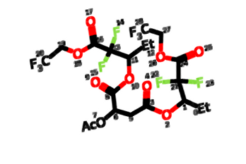 CCC(OC(=O)CC(OC(C)=O)C(=O)OC(CC)C(F)(F)C(=O)OCC(F)(F)F)C(F)(F)C(=O)OCC(F)(F)F